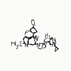 Cc1ccc2c(-c3ccc(Cl)cc3F)nc(N3CCO[C@H](C4(C)C=NN(C5CC5)C4)C3)cc2n1